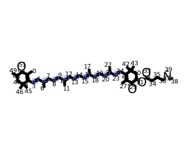 CC1=C(/C=C/C(C)=C/C=C/C(C)=C/C=C/C=C(C)/C=C/C=C(C)/C=C/C2=C(C)C(=O)C(OC(=O)CCCN(C)C)CC2(C)C)C(C)(C)CC(C)C1=O